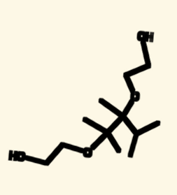 CC(C)C(C)(OCCO)C(C)(C)OCCO